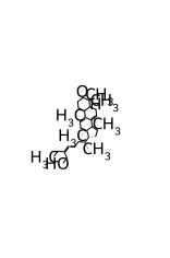 CC/C(=C/CC[C@@H](C)[C@H]1CC[C@@]2(C)C3=CC[C@H]4C(C)(C)C(=O)CC[C@]4(C)C3=CC[C@]12C)CO